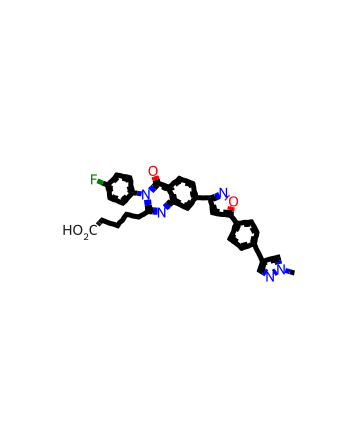 Cn1cc(-c2ccc(-c3cc(-c4ccc5c(=O)n(-c6ccc(F)cc6)c(CCCCC(=O)O)nc5c4)no3)cc2)cn1